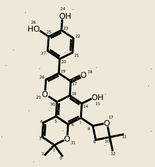 CC1(C)C=Cc2c(c(C3CC(C)(C)O3)c(O)c3c(=O)c(-c4ccc(O)c(O)c4)coc23)O1